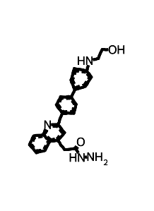 NNC(=O)Cc1cc(-c2ccc(-c3ccc(NCCO)cc3)cc2)nc2ccccc12